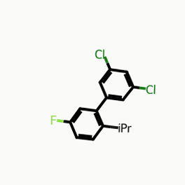 CC(C)c1ccc(F)cc1-c1cc(Cl)cc(Cl)c1